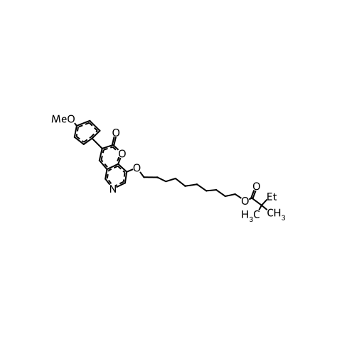 CCC(C)(C)C(=O)OCCCCCCCCCCOc1cncc2cc(-c3ccc(OC)cc3)c(=O)oc12